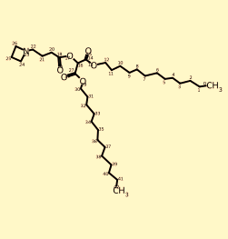 CCCCCCCCCCCCCOC(=O)C(OC(=O)CCCN1CCC1)C(=O)OCCCCCCCCCCCCC